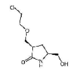 O=C1N[C@H](CO)C[C@@H]1COCCCl